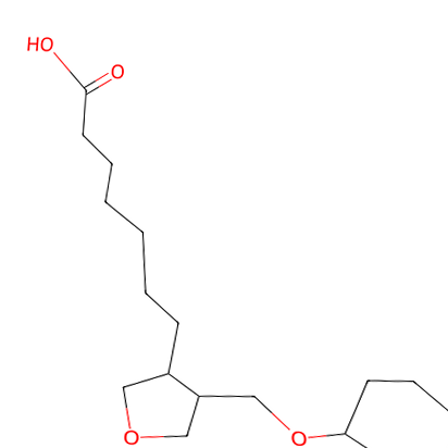 O=C(O)CCCCCCC1COCC1COC1CCCCC1